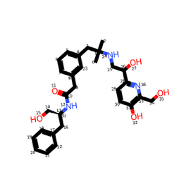 CC(C)(Cc1cccc(CC(=O)N[C@H](CO)Cc2ccccc2)c1)NCC(O)c1ccc(O)c(CO)n1